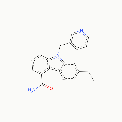 CCc1c[c]c2c3c(C(N)=O)cccc3n(Cc3cccnc3)c2c1